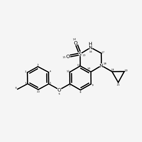 Cc1cccc(Oc2ccc3c(c2)S(=O)(=O)NCN3C2CC2)c1